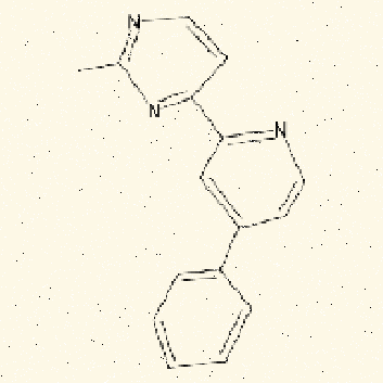 Cc1nccc(-c2cc(-c3ccccc3)ccn2)n1